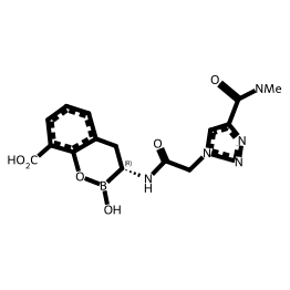 CNC(=O)c1cn(CC(=O)N[C@H]2Cc3cccc(C(=O)O)c3OB2O)nn1